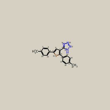 Cc1ccc(-c2cc(-c3nnn[nH]3)c(-c3ccc(C)cc3)s2)cc1